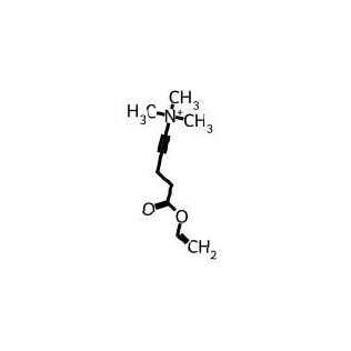 C=COC(=O)CCC#C[N+](C)(C)C